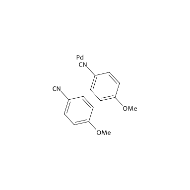 [C-]#[N+]c1ccc(OC)cc1.[C-]#[N+]c1ccc(OC)cc1.[Pd]